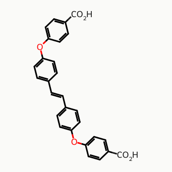 O=C(O)c1ccc(Oc2ccc(/C=C/c3ccc(Oc4ccc(C(=O)O)cc4)cc3)cc2)cc1